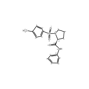 Cc1ccc(S(=O)(=O)N2CCC[C@H]2C(=O)Nc2ccccc2)cc1